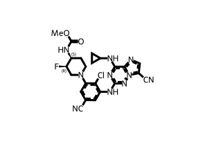 COC(=O)N[C@H]1CCN(c2cc(C#N)cc(Nc3nc(NC4CC4)c4ncc(C#N)n4n3)c2Cl)C[C@H]1F